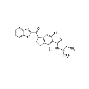 NC[C@H](NC(=O)c1c(Cl)cc2c(c1Cl)CCN2C(=O)c1cc2ccccc2o1)C(=O)O